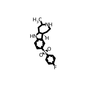 CC1CC2Nc3ccc(S(=O)(=O)c4ccc(F)cc4)cc3[C@@H]2CCN1